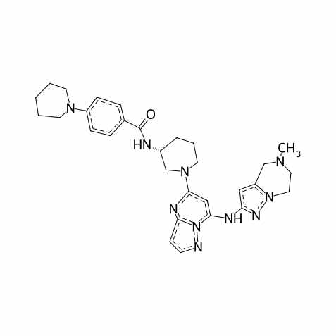 CN1CCn2nc(Nc3cc(N4CCC[C@@H](NC(=O)c5ccc(N6CCCCC6)cc5)C4)nc4ccnn34)cc2C1